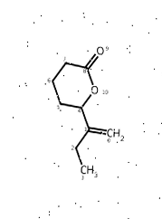 C=C(CC)C1CCCC(=O)O1